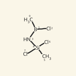 CB(Cl)N[Si](C)(Cl)Cl